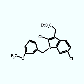 CCOC(=O)Cc1c(Cl)n(Cc2cccc(OC(F)(F)F)c2)c2cc(Cl)ccc12